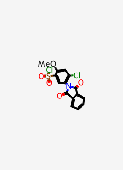 COc1cc(Cl)c(N2C(=O)c3ccccc3C2=O)cc1S(=O)(=O)Cl